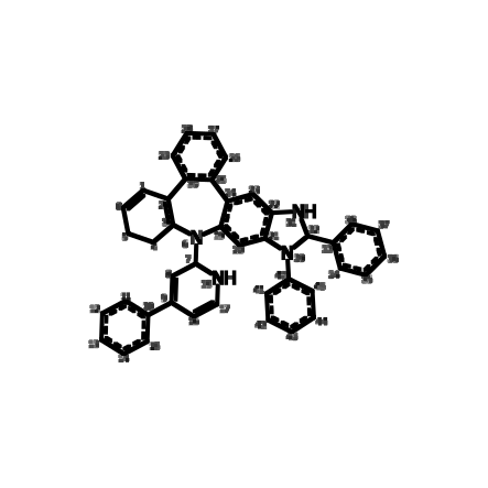 C1=CC2=C(CC1)N(C1C=C(c3ccccc3)C=CN1)c1cc3c(cc1-c1ccccc12)NC(c1ccccc1)N3c1ccccc1